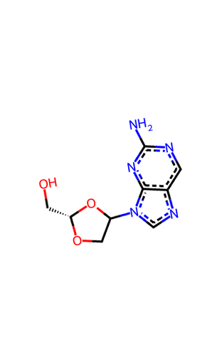 Nc1ncc2ncn(C3CO[C@H](CO)O3)c2n1